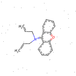 C=CC[N+](CC=C)=c1c2ccccc2oc2ccccc12